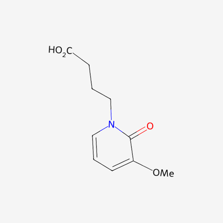 COc1cccn(CCCC(=O)O)c1=O